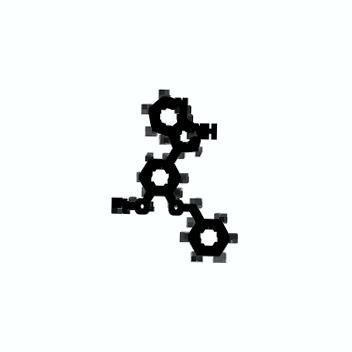 CCOc1ccc(-c2c[nH]c3ncccc23)cc1OCc1ccccc1